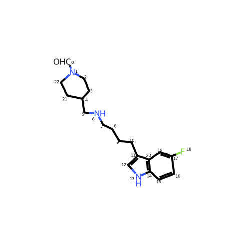 O=CN1CCC(CNCCCCc2c[nH]c3ccc(F)cc23)CC1